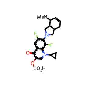 CNC1C=CCC2CN(c3c(F)cc4c(=O)c(OC(=O)O)cn(C5CC5)c4c3F)CC21